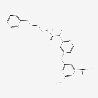 COc1cc(Nc2cccc(C(C)C(=O)NCCNCc3ccccc3)c2)cc(C(F)(F)F)c1